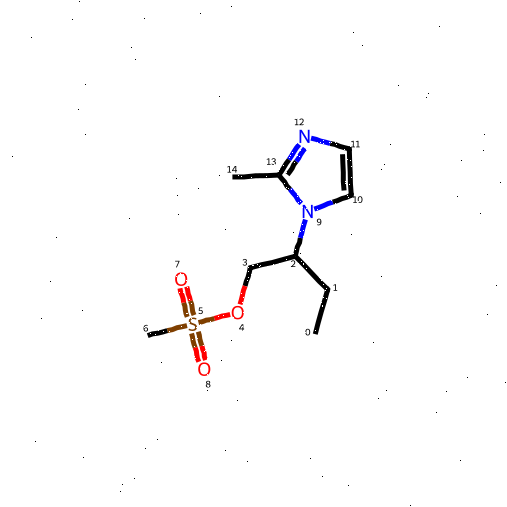 CCC(COS(C)(=O)=O)n1ccnc1C